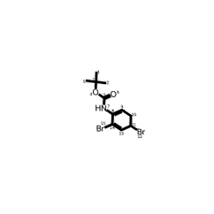 CC(C)(C)OC(=O)NC1=[C]CC(Br)C=C1Br